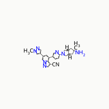 Cn1cc(-c2cc(-c3ccc(N4C[C@@H]5CC(C)(N)C[C@@H]5C4)nc3)c3c(C#N)cnn3c2)cn1